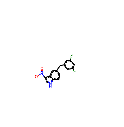 O=[N+]([O-])c1c[nH]c2ccc(Cc3cc(F)cc(F)c3)cc12